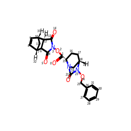 O=C(ON1C(=O)C2[C@@H]3C=C[C@@H](C3)[C@H]2C1=O)[C@@H]1CC[C@H]2CN1C(=O)N2OCc1ccccc1